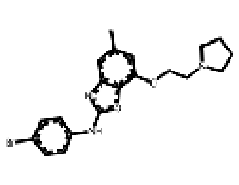 Cc1cc(OCCN2CCCC2)c2oc(Nc3ccc(Br)cc3)nc2c1